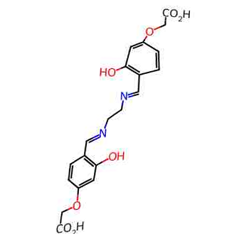 O=C(O)COc1ccc(C=NCCN=Cc2ccc(OCC(=O)O)cc2O)c(O)c1